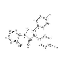 Cc1ccc(C2=C(c3ccc(F)cc3)C(=O)N(c3ccccc3F)C2)cc1